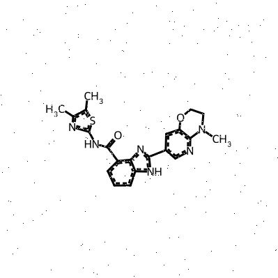 Cc1nc(NC(=O)c2cccc3[nH]c(-c4cnc5c(c4)OCCN5C)nc23)sc1C